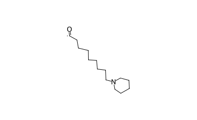 O=[C]CCCCCCCCN1CCCCC1